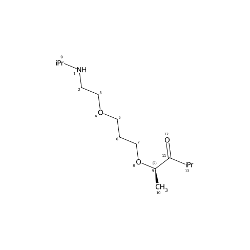 CC(C)NCCOCCCO[C@H](C)C(=O)C(C)C